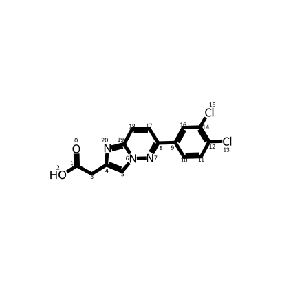 O=C(O)Cc1cn2nc(-c3ccc(Cl)c(Cl)c3)ccc2n1